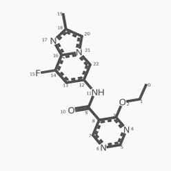 CCOc1ncncc1C(=O)Nc1cc(F)c2nc(C)cn2c1